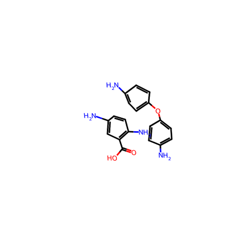 Nc1ccc(N)c(C(=O)O)c1.Nc1ccc(Oc2ccc(N)cc2)cc1